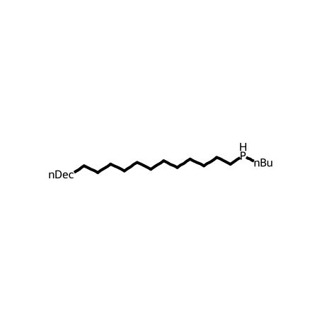 CCCCCCCCCCCCCCCCCCCCCCPCCCC